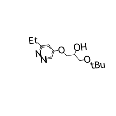 CCc1cc(OCC(O)COC(C)(C)C)cnn1